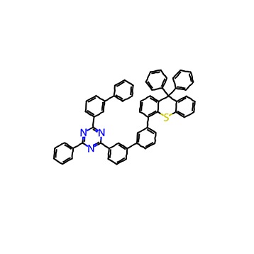 c1ccc(-c2cccc(-c3nc(-c4ccccc4)nc(-c4cccc(-c5cccc(-c6cccc7c6Sc6ccccc6C7(c6ccccc6)c6ccccc6)c5)c4)n3)c2)cc1